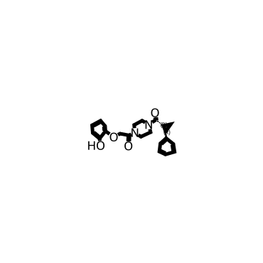 O=C(COc1ccccc1O)N1CCN(C(=O)[C@@H]2C[C@H]2c2ccccc2)CC1